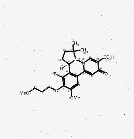 COCCCOc1c(OC)cc2c(c1F)[C@H]1CCC(C)(C)N1n1cc(C(=O)O)c(=O)cc1-2